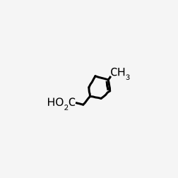 CC1=CCC(CC(=O)O)CC1